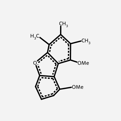 COc1cccc2oc3c(C)c(C)c(C)c(OC)c3c12